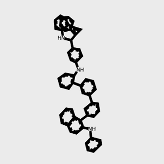 C1=C2c3ccccc3NC(c3ccc(Nc4ccccc4-c4cccc(-c5cccc(-c6c(Nc7ccccc7)ccc7ccccc67)c5)c4)cc3)C12c1ccccc1